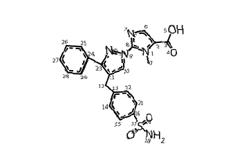 Cn1c(C(=O)O)cnc1-n1cc(Cc2ccc(S(N)(=O)=O)cc2)c(-c2ccccc2)n1